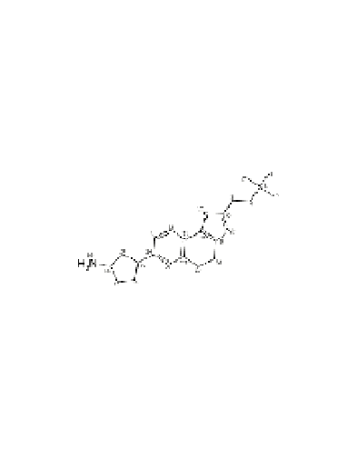 CC(C)(C)CCc1nc2c(s1)-c1ccc(C3CCC(N)C3)cc1CC2